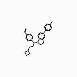 C=Cc1ccc(C(CCC2CCC2)N2CCc3cc(-c4ccc(C)cc4)ccc32)cc1